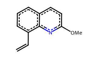 C=Cc1cccc2ccc(OC)nc12